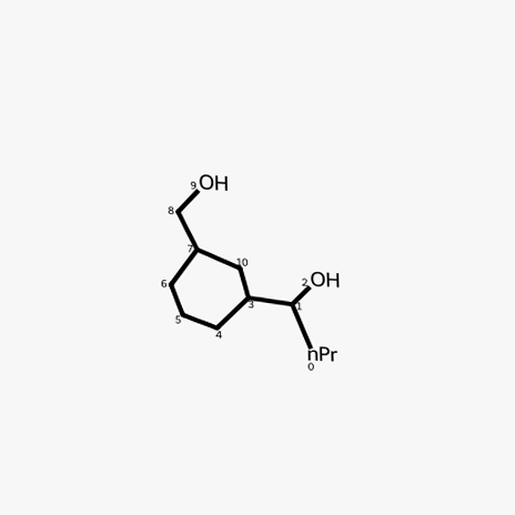 CCCC(O)C1CCCC(CO)C1